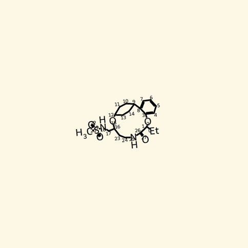 CCC1Oc2ccccc2C2CCC(CC2)OC(CNS(C)(=O)=O)CCNC1=O